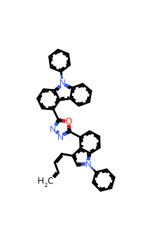 C=C/C=C\c1cn(-c2ccccc2)c2cccc(-c3nnc(-c4cccc5c4c4ccccc4n5-c4ccccc4)o3)c12